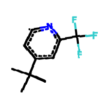 CC(C)(C)c1c[c]nc(C(F)(F)F)c1